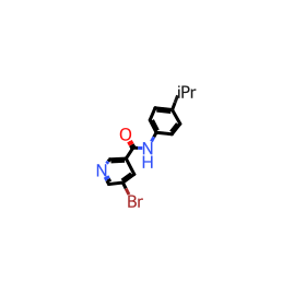 CC(C)c1ccc(NC(=O)c2cncc(Br)c2)cc1